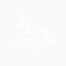 Cn1ccc(-c2cc(-c3ccc(F)cc3)ncc2C2CNC2)n1.O=C(O)C(F)(F)F